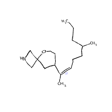 CCCC(C)CC/C=C(/C)C1COC2(CNC2)C1